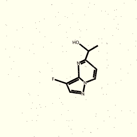 CC(O)c1ccn2ncc(F)c2n1